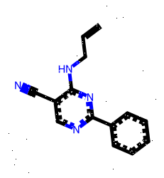 C=CCNc1nc(-c2ccccc2)ncc1C#N